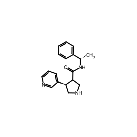 C[C@H](NC(=O)C1CNC[C@H]1c1cccnc1)c1ccccc1